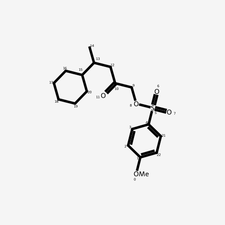 COc1ccc(S(=O)(=O)OCC(=O)CC(C)C2CCCCC2)cc1